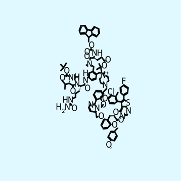 COc1ccc(COC(=O)[C@@H](Cc2ccccc2OCc2ccnc(-c3ccccc3OC)n2)Oc2ncnc3sc(-c4ccc(F)cc4)c(-c4ccc(OCCN5CC[N+](C)(Cc6ccc(NC(=O)[C@H](CCCNC(N)=O)NC(=O)[C@@H](NC(=O)OC(C)(C)C)C(C)C)cc6CN(C)C(=O)[C@H](CCC(=O)OC(C)(C)C)NC(=O)OCC6c7ccccc7-c7ccccc76)CC5)c(Cl)c4C)c23)cc1